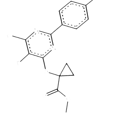 COC(=O)C1(Oc2nc(-c3ccc(F)cc3)nc(Cl)c2F)CC1